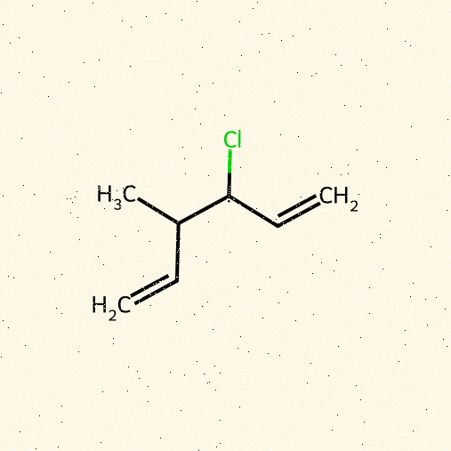 C=C[C](Cl)C(C)C=C